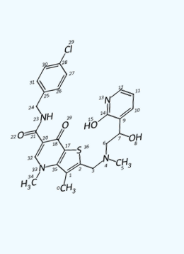 Cc1c(CN(C)CC(O)c2cccnc2O)sc2c(=O)c(C(=O)NCc3ccc(Cl)cc3)cn(C)c12